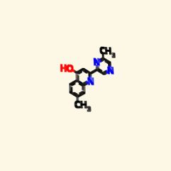 Cc1ccc2c(O)cc(-c3cncc(C)n3)nc2c1